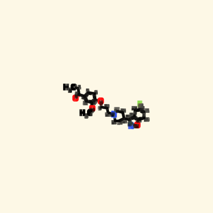 CCC(=O)c1ccc(OCCCN2CCC(c3noc4ccc(F)cc34)CC2)c(OC)c1